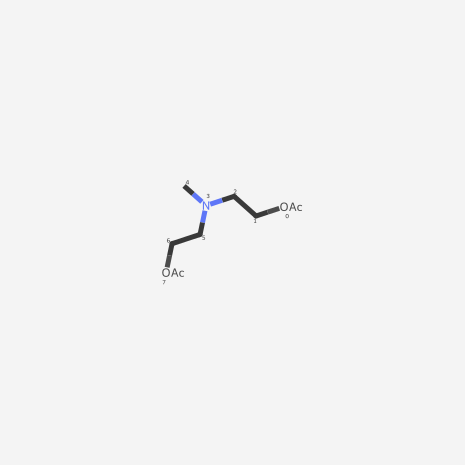 CC(=O)OCCN(C)CCOC(C)=O